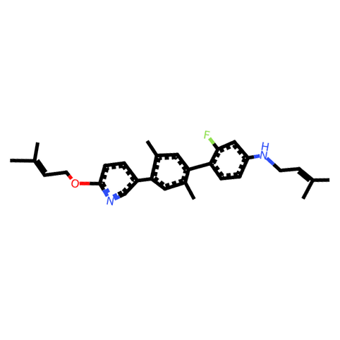 CC(C)=CCNc1ccc(-c2cc(C)c(-c3ccc(OCC=C(C)C)nc3)cc2C)c(F)c1